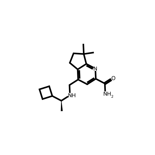 C[C@H](NCc1cc(C(N)=O)nc2c1CCC2(C)C)C1CCC1